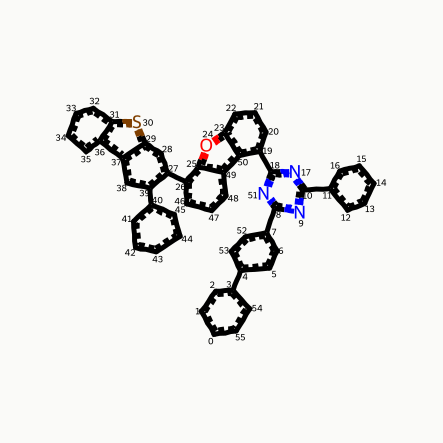 c1ccc(-c2ccc(-c3nc(-c4ccccc4)nc(-c4cccc5oc6c(-c7cc8sc9ccccc9c8cc7-c7ccccc7)cccc6c45)n3)cc2)cc1